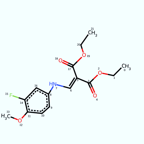 CCOC(=O)C(=CNc1ccc(OC)c(F)c1)C(=O)OCC